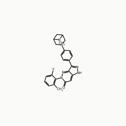 Cc1cccc(F)c1-n1nc2c(-c3ccc(N4CC5CC(C4)N5C)cc3)n[nH]c2cc1=O